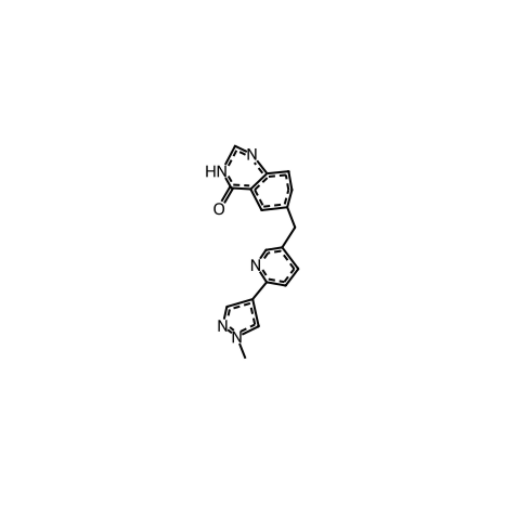 Cn1cc(-c2ccc(Cc3ccc4nc[nH]c(=O)c4c3)cn2)cn1